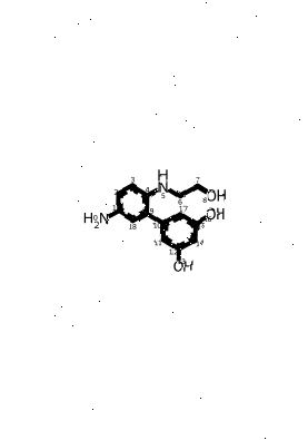 Nc1ccc(NCCO)c(-c2cc(O)cc(O)c2)c1